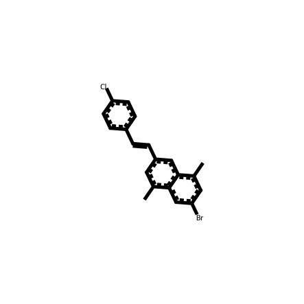 Cc1cc(/C=C/c2ccc(Cl)cc2)cc2c(C)cc(Br)cc12